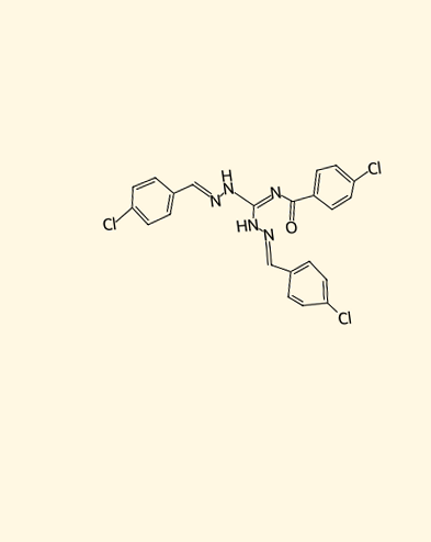 O=C(N=C(NN=Cc1ccc(Cl)cc1)NN=Cc1ccc(Cl)cc1)c1ccc(Cl)cc1